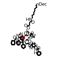 CCCCCCCCCCCCCCCCCCNC(=O)CCC(=O)OC[C@@H]1CN(P(=O)(OC[C@@H]2CN(C(c3ccccc3)(c3ccccc3)c3ccccc3)C[C@H](n3cnc4c(NC(=O)c5ccccc5)ncnc43)O2)N(C)C)C[C@H](n2cnc3c(NC(=O)c4ccccc4)ncnc32)O1